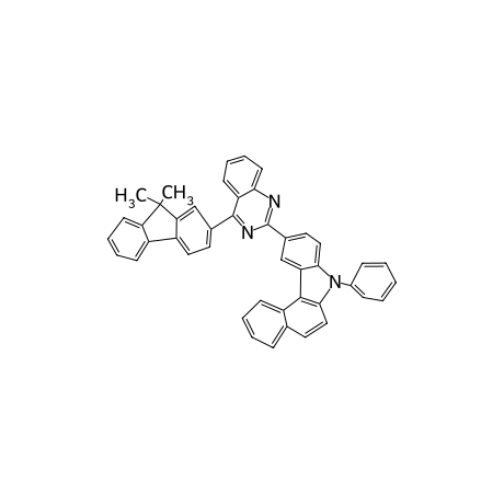 CC1(C)c2ccccc2-c2ccc(-c3nc(-c4ccc5c(c4)c4c6ccccc6ccc4n5-c4ccccc4)nc4ccccc34)cc21